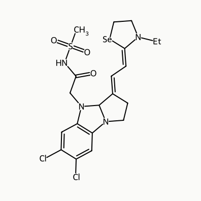 CCN1CC[Se]C1=CC=C1CCN2c3cc(Cl)c(Cl)cc3N(CC(=O)NS(C)(=O)=O)C12